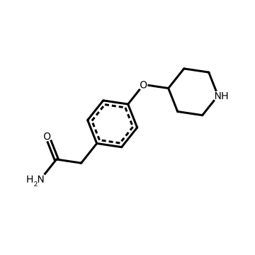 NC(=O)Cc1ccc(OC2CCNCC2)cc1